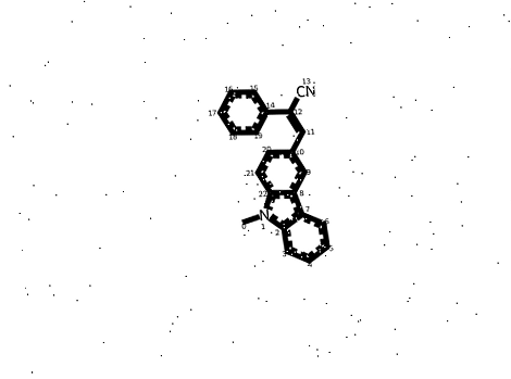 Cn1c2ccccc2c2cc(/C=C(/C#N)c3ccccc3)ccc21